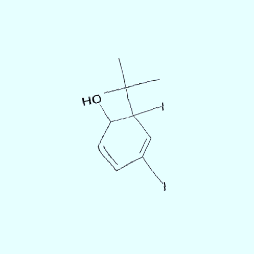 CC(C)(C)C1(I)C=C(I)C=CC1O